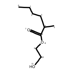 CCCCC(C)C(=O)OCCO